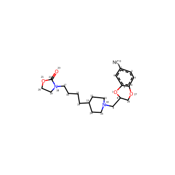 N#Cc1ccc2c(c1)OC(CN1CCC(CCCCN3CCOC3=O)CC1)CO2